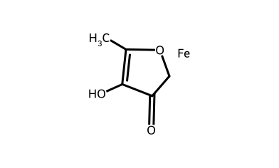 CC1=C(O)C(=O)CO1.[Fe]